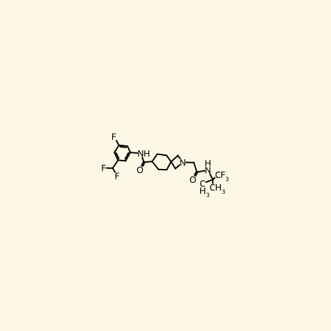 CC(C)(NC(=O)CN1CC2(CCC(C(=O)Nc3cc(F)cc(C(F)F)c3)CC2)C1)C(F)(F)F